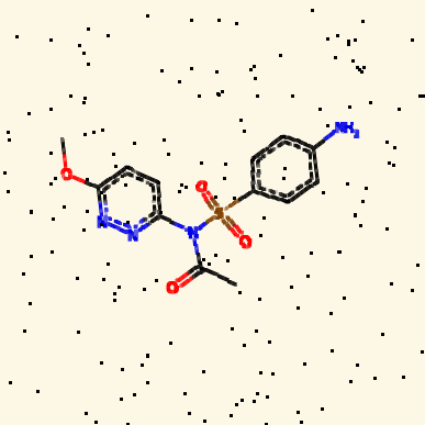 COc1ccc(N(C(C)=O)S(=O)(=O)c2ccc(N)cc2)nn1